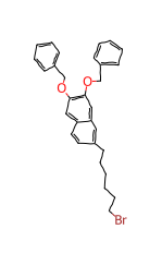 BrCCCCCCc1ccc2cc(OCc3ccccc3)c(OCc3ccccc3)cc2c1